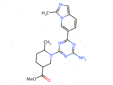 COC(=O)C1CCC(C)N(c2nc(N)nc(-c3ccc4cnc(C)n4c3)n2)C1